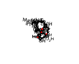 CN[C@H](CC(C)C)C(=O)N[C@H]1C(=O)N[C@@H](CC(N)=O)C(=O)N[C@H]2CN(C)[C@H]3C(=O)N[C@H](C(=O)N[C@H](C(=O)O)c4cc(O)cc(O)c4-c4cc3ccc4O)[C@H](O)c3ccc(c(Cl)c3)Oc3cc2cc(c3O)Oc2ccc(cc2Cl)[C@H]1O